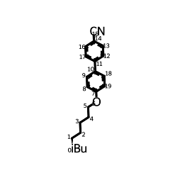 CC[C@H](C)CCCCCOc1ccc(-c2ccc(C#N)cc2)cc1